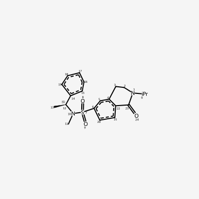 CC(C)N1CCc2cc(S(=O)(=O)N(C)[C@@H](C)c3ccccc3)ccc2C1=O